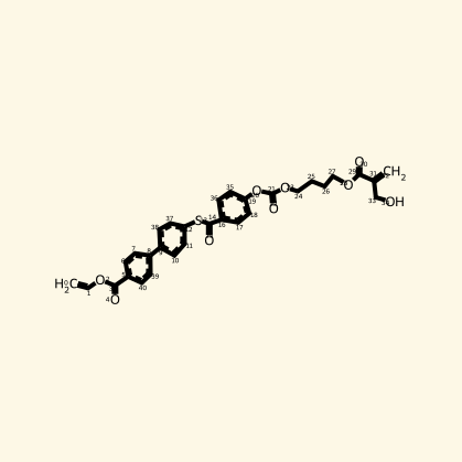 C=COC(=O)c1ccc(-c2ccc(SC(=O)c3ccc(OC(=O)OCCCCOC(=O)C(=C)CO)cc3)cc2)cc1